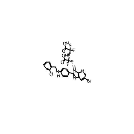 Clc1ccccc1CNc1ccc(-c2nc3cc(Br)cnc3[nH]2)cc1.O=C(O)C(F)(F)F.O=C(O)C(F)(F)F